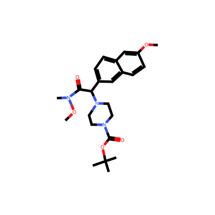 COc1ccc2cc(C(C(=O)N(C)OC)N3CCN(C(=O)OC(C)(C)C)CC3)ccc2c1